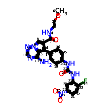 COCCNC(=O)c1cn2ncnc(N)c2c1-c1ccc(NC(=O)Nc2cc([N+](=O)[O-])ccc2F)cc1